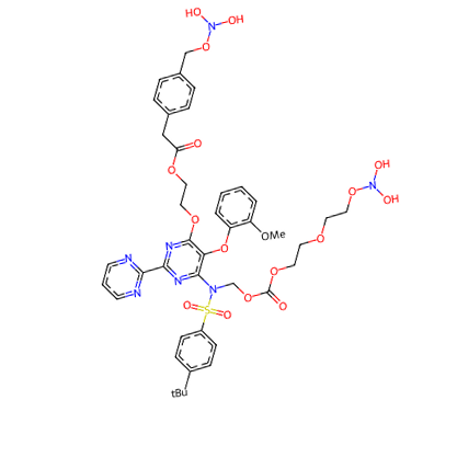 COc1ccccc1Oc1c(OCCOC(=O)Cc2ccc(CON(O)O)cc2)nc(-c2ncccn2)nc1N(COC(=O)OCCOCCON(O)O)S(=O)(=O)c1ccc(C(C)(C)C)cc1